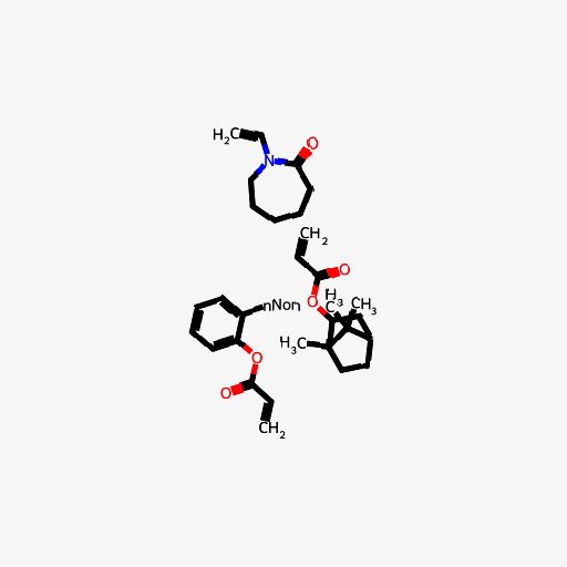 C=CC(=O)OC1CC2CCC1(C)C2(C)C.C=CC(=O)Oc1ccccc1CCCCCCCCC.C=CN1CCCCCC1=O